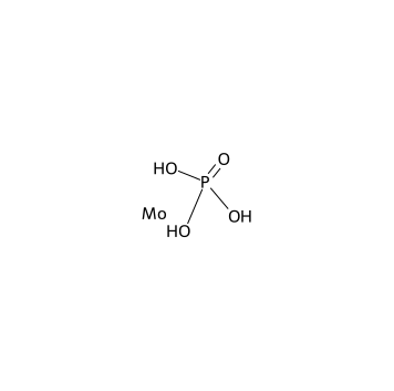 O=P(O)(O)O.[Mo]